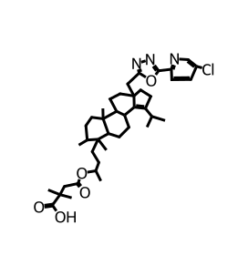 CC(CCC1(C)C(C)CCC2(C)C3CCC4(Cc5nnc(-c6ccc(Cl)cn6)o5)CCC(C(C)C)=C4C3CCC12)OC(=O)CC(C)(C)C(=O)O